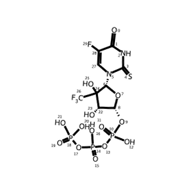 O=c1[nH]c(=S)n([C@@H]2O[C@H](OP(=O)(O)OP(=O)(O)OP(=O)(O)O)[C@H](O)C2(O)C(F)(F)F)cc1F